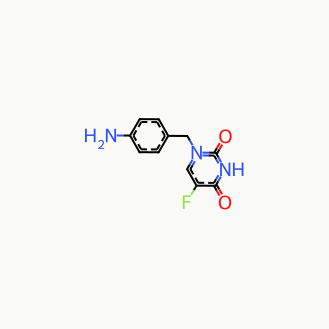 Nc1ccc(Cn2cc(F)c(=O)[nH]c2=O)cc1